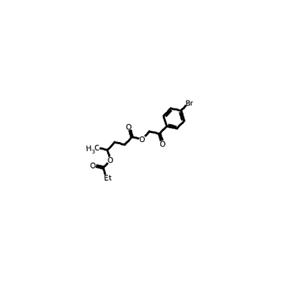 CCC(=O)OC(C)CCC(=O)OCC(=O)c1ccc(Br)cc1